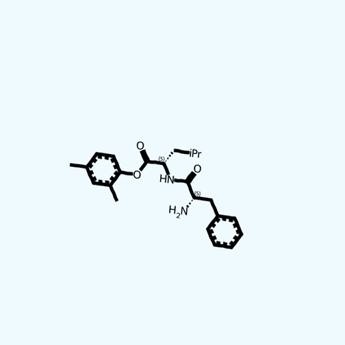 Cc1ccc(OC(=O)[C@H](CC(C)C)NC(=O)[C@@H](N)Cc2ccccc2)c(C)c1